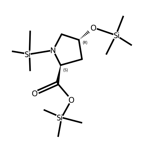 C[Si](C)(C)OC(=O)[C@@H]1C[C@@H](O[Si](C)(C)C)CN1[Si](C)(C)C